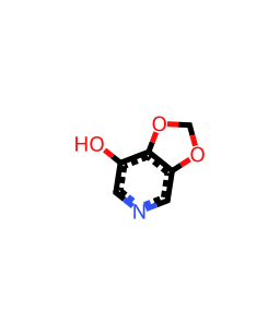 Oc1cncc2c1OCO2